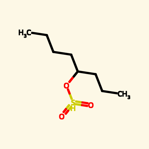 CCCCC(CCC)O[SH](=O)=O